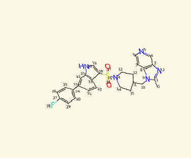 Cc1nc2cnccc2n1CC1CCN(S(=O)(=O)c2c[nH]c3cc(-c4ccc(F)cc4)ccc23)CC1